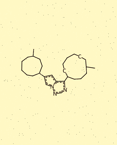 CC1CCCCCCC(c2ncnn3cc(C4CCCCCC(C)CC4)cc23)CCC1